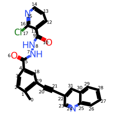 Cc1ccc(C(=O)NNC(=O)c2cccnc2Cl)cc1C#Cc1cnc2ccccc2c1